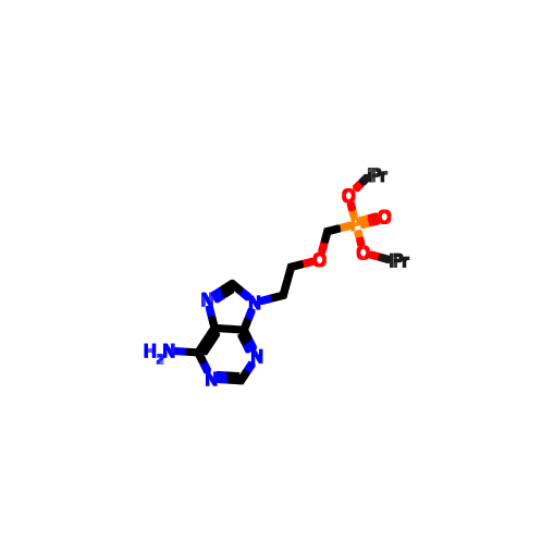 CC(C)OP(=O)(COCCn1cnc2c(N)ncnc21)OC(C)C